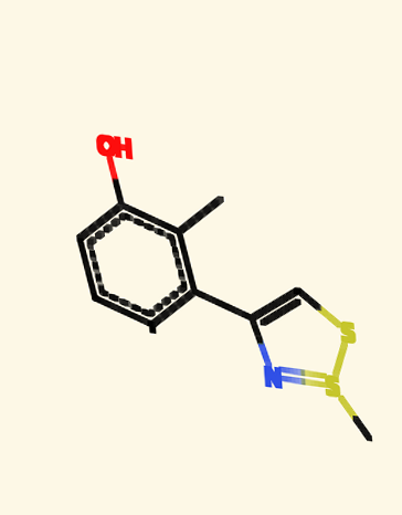 Cc1c(C2=CSS(C)=N2)[c]ccc1O